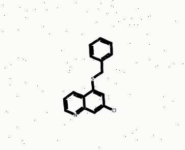 Clc1cc(SCc2ccccc2)c2cccnc2c1